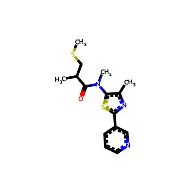 CSCC(C)C(=O)N(C)c1sc(-c2cccnc2)nc1C